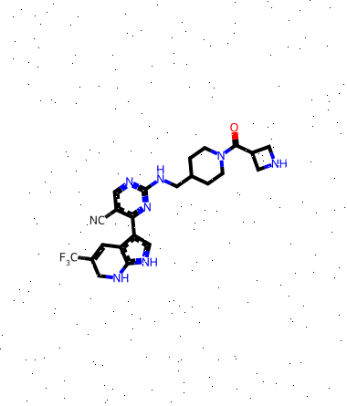 N#Cc1cnc(NCC2CCN(C(=O)C3CNC3)CC2)nc1-c1c[nH]c2c1C=C(C(F)(F)F)CN2